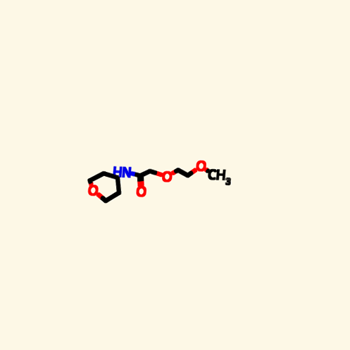 COCCOCC(=O)NC1CCOCC1